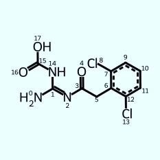 NC(=NC(=O)Cc1c(Cl)cccc1Cl)NC(=O)O